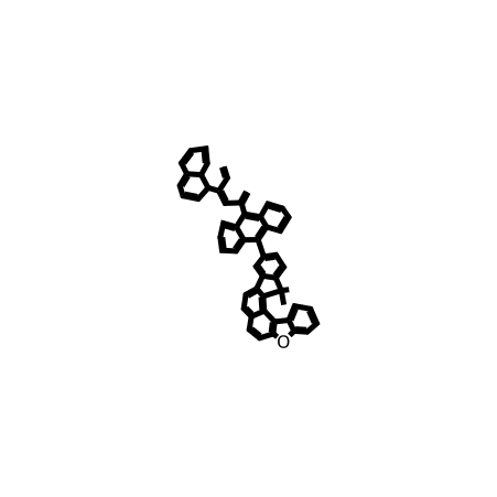 C=C/C(=C\C(=C)c1c2ccccc2c(-c2ccc3c(c2)-c2ccc4ccc5oc6ccccc6c5c4c2C3(C)C)c2ccccc12)C1C=CC=C2C=CC=CC21